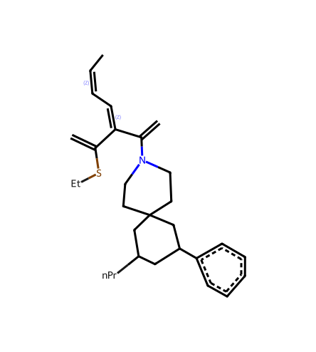 C=C(SCC)/C(=C\C=C/C)C(=C)N1CCC2(CC1)CC(CCC)CC(c1ccccc1)C2